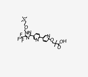 CC(C)(COc1ccc(-c2ccc(-c3nc(C(F)(F)F)n(COCCS(C)(C)C)n3)cn2)cn1)C(=O)O